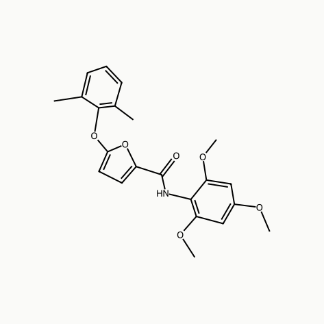 COc1cc(OC)c(NC(=O)c2ccc(Oc3c(C)cccc3C)o2)c(OC)c1